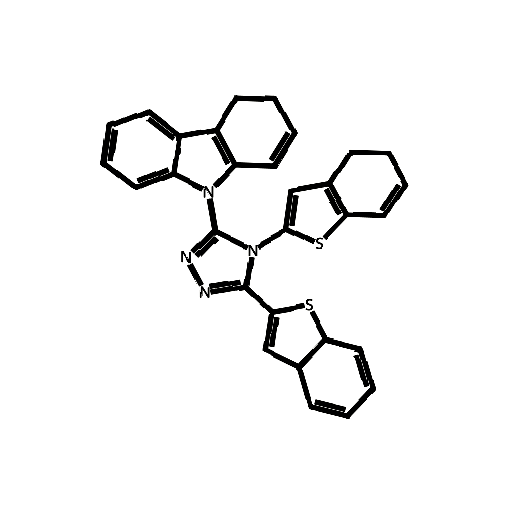 C1=CC2C=C(c3nnc(-n4c5c(c6ccccc64)CCC=C5)n3-c3cc4c(s3)C=CCC4)SC2C=C1